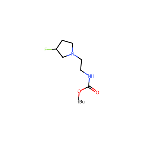 CC(C)(C)OC(=O)NCCN1CCC(F)C1